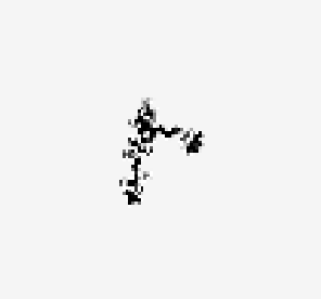 CC(C)(C)OC(=O)NCCNS(=O)(=O)N1CC(CCCB2OC(C)(C)C(C)(C)O2)C(N=[N+]=[N-])(C(=O)O)C1